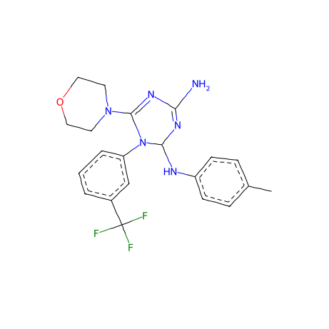 Cc1ccc(NC2N=C(N)N=C(N3CCOCC3)N2c2cccc(C(F)(F)F)c2)cc1